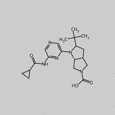 CC(C)(C)C1CC2CN(C(=O)O)CC2N1c1cncc(NC(=O)C2CC2)n1